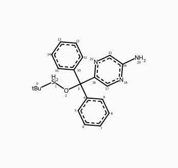 CC(C)(C)[SiH2]OC(c1ccccc1)(c1ccccc1)c1cnc(N)cn1